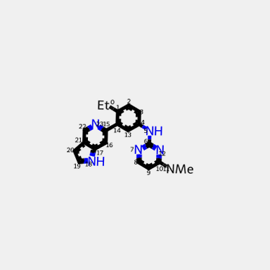 CCc1ccc(Nc2nccc(NC)n2)cc1-c1cc2[nH]ccc2cn1